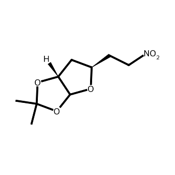 CC1(C)OC2O[C@H](CC[N+](=O)[O-])C[C@H]2O1